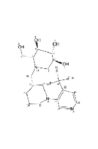 OC[C@@H]1[C@@H](O)[C@H](O)[C@@H](O)CN1C[C@H]1CCCN(c2cnccc2C(F)(F)F)C1